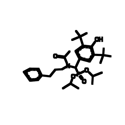 CC(=O)N(CCCc1ccccc1)C(c1cc(C(C)(C)C)c(O)c(C(C)(C)C)c1)P(=O)(OC(C)C)OC(C)C